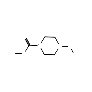 CC(C)(C)OC(=O)N1CCN(O[C]=O)CC1